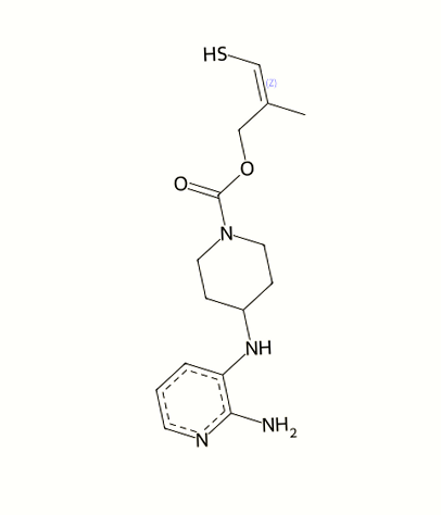 C/C(=C/S)COC(=O)N1CCC(Nc2cccnc2N)CC1